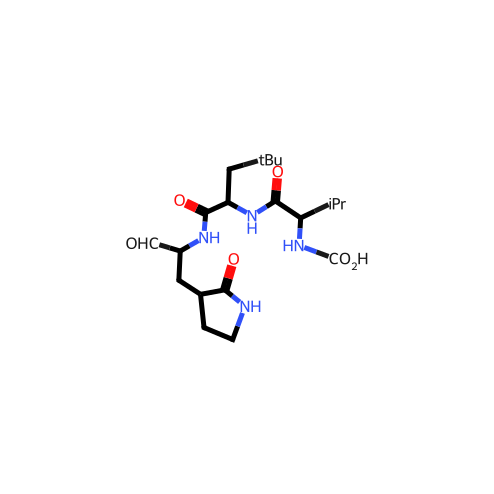 CC(C)C(NC(=O)O)C(=O)NC(CC(C)(C)C)C(=O)NC(C=O)CC1CCNC1=O